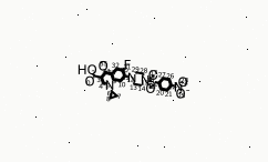 O=C(O)c1cn(C2CC2)c2cc(N3CCN(S(=O)(=O)c4ccc([N+](=O)[O-])cc4)CC3)c(F)cc2c1=O